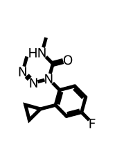 C/N=N\N(C(=O)NC)c1ccc(F)cc1C1CC1